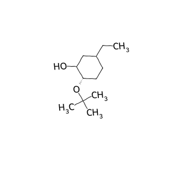 CCC1CC[C@H](OC(C)(C)C)C(O)C1